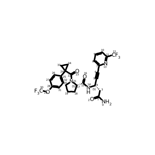 NC(=O)C[C@@H](C#Cc1cccc(C(F)(F)F)n1)NC(=O)[C@@H]1CCCN1C(=O)C1(c2ccc(OC(F)(F)F)cc2)CC1